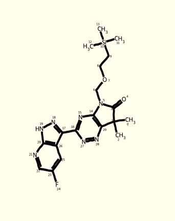 CC1(C)C(=O)N(COCC[Si](C)(C)C)c2nc(-c3n[nH]c4ncc(F)cc34)nnc21